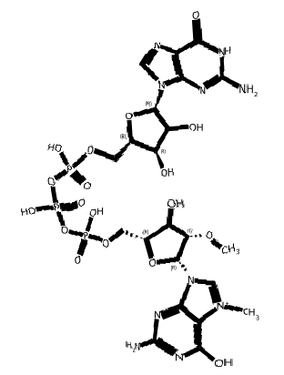 CO[C@H]1C(O)[C@@H](COP(=O)(O)OP(=O)(O)OP(=O)(O)OC[C@H]2O[C@@H](n3cnc4c(=O)[nH]c(N)nc43)C(O)[C@H]2O)O[C@H]1n1c[n+](C)c2c(O)nc(N)nc21